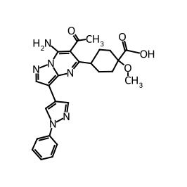 COC1(C(=O)O)CCC(c2nc3c(-c4cnn(-c5ccccc5)c4)cnn3c(N)c2C(C)=O)CC1